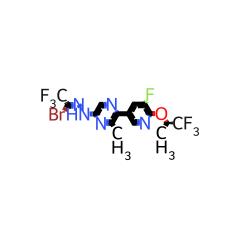 Cc1nc(N/N=C(\Br)C(F)(F)F)cnc1-c1cnc(O[C@H](C)C(F)(F)F)c(F)c1